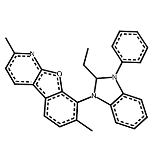 CCC1N(c2ccccc2)c2ccccc2N1c1c(C)ccc2c1oc1nc(C)ccc12